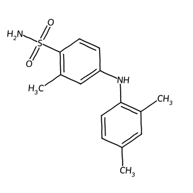 Cc1ccc(Nc2ccc(S(N)(=O)=O)c(C)c2)c(C)c1